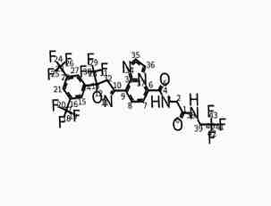 O=C(CNC(=O)c1ccc(C2=NOC(c3cc(C(F)(F)F)cc(C(F)(F)F)c3)(C(F)(F)F)C2)c2nccn12)NCC(F)(F)F